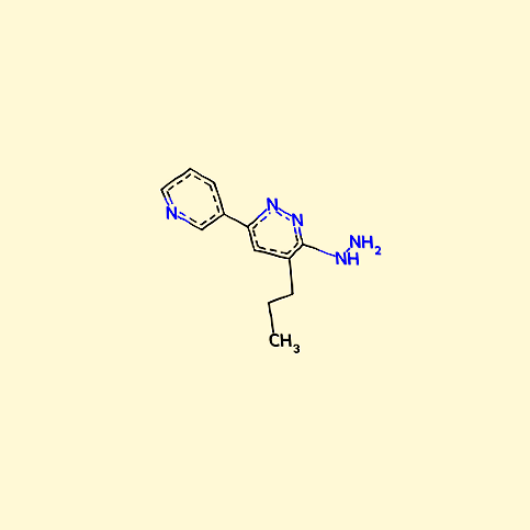 CCCc1cc(-c2cccnc2)nnc1NN